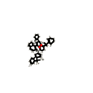 CC(C)(c1ccccc1)c1ccc(N(c2ccc3c(c2)-c2ccccc2C3(C)C)c2ccc3ccccc3c2-c2cccc3c2sc2ccccc23)cc1